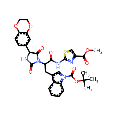 COC(=O)c1csc(NC(=O)C(Cc2cn(C(=O)OC(C)(C)C)c3ccccc23)N2C(=O)NC(c3ccc4c(c3)OCCO4)C2=O)n1